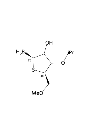 B[C@@H]1S[C@H](COC)C(OC(C)C)C1O